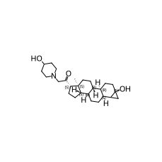 C[C@]12CC[C@@H]3[C@H]4CC[C@]5(O)CC5[C@H]4CC[C@H]3[C@@H]1CC[C@@H]2C(=O)CN1CCC(O)CC1